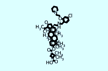 CC(C)C1=C2[C@H]3CC[C@@H]4[C@@]5(C)CC[C@H](OC(=O)[C@H]6C[C@@H](C(=O)O)C6(C)C)C(C)(C)[C@@H]5CC[C@@]4(C)[C@]3(C)CC[C@@]2(CCNCc2ccc(Cl)cc2OCCN2CCCCC2)CC1=O